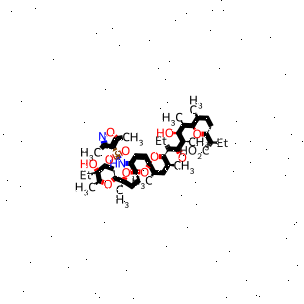 CCC(C(=O)[C@@H](C)[C@@H](O)[C@H](C)[C@@H]1O[C@@H]([C@@H](CC)C(=O)O)CC[C@@H]1C)[C@H]1O[C@]2(C=CC(NS(=O)(=O)c3c(C)noc3C)[C@]3(CC[C@@](C)([C@H]4CC[C@](O)(CC)[C@H](C)O4)O3)O2)[C@H](C)C[C@@H]1C